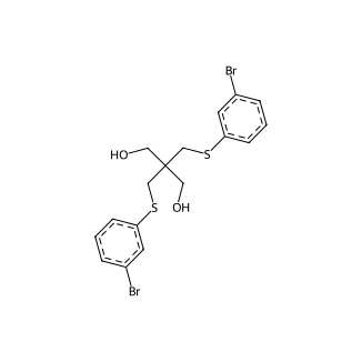 OCC(CO)(CSc1cccc(Br)c1)CSc1cccc(Br)c1